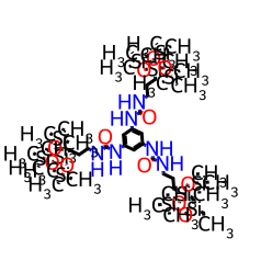 CC[Si](=O)C[Si](CCCNC(=O)Nc1cc(NC(=O)NCCC[Si](O[Si](C)(C)C)(O[Si](C)(C)C)O[Si](C)(C)C)cc(NC(=O)NCCC[Si](O[Si](C)(C)C)(O[Si](C)(C)C)O[Si](C)(C)C)c1)(O[Si](C)(C)C)O[Si](C)(C)C